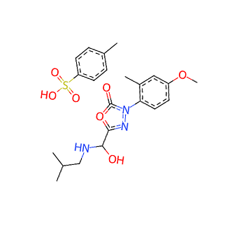 COc1ccc(-n2nc(C(O)NCC(C)C)oc2=O)c(C)c1.Cc1ccc(S(=O)(=O)O)cc1